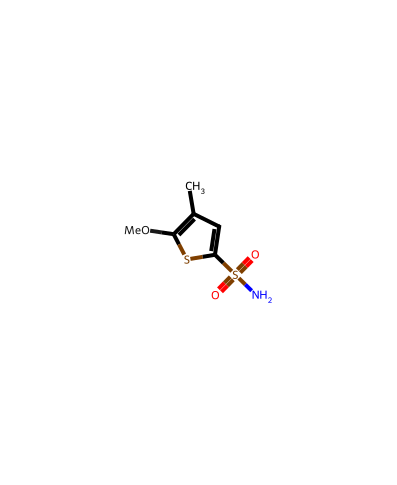 COc1sc(S(N)(=O)=O)cc1C